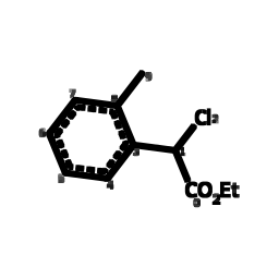 CCOC(=O)C(Cl)c1ccccc1C